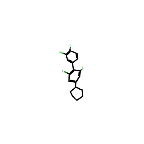 Fc1ccc(-c2c(F)cc(C3CCCCC3)cc2F)cc1F